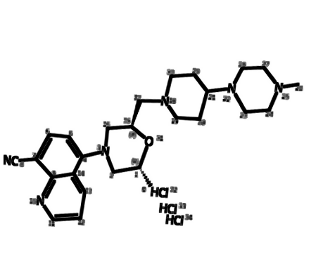 C[C@@H]1CN(c2ccc(C#N)c3ncccc23)C[C@@H](CN2CCC(N3CCN(C)CC3)CC2)O1.Cl.Cl.Cl